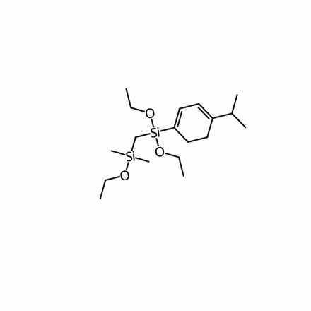 CCO[Si](C)(C)C[Si](OCC)(OCC)C1=CC=C(C(C)C)CC1